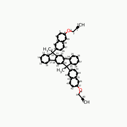 C#CCOc1ccc2cc(C3(C)c4ccccc4-c4cc5c(cc43)-c3ccccc3C5(C)c3ccc4cc(OCC#C)ccc4c3)ccc2c1